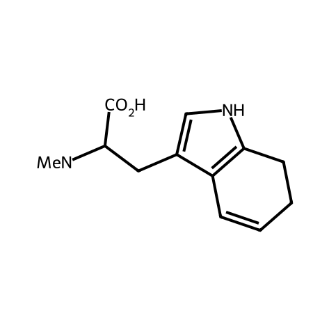 CNC(Cc1c[nH]c2c1C=CCC2)C(=O)O